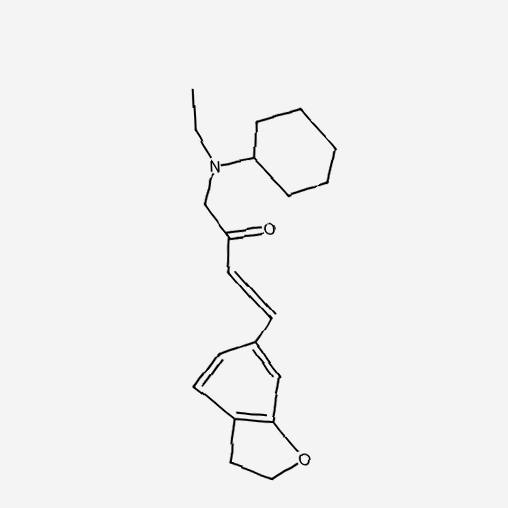 CCN(CC(=O)/C=C/c1ccc2c(c1)OCC2)C1CCCCC1